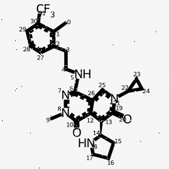 Cc1c(CCNc2nn(C)c(=O)c3c([C@H]4CCCN4)c(=O)n(C4CC4)cc23)cccc1C(F)(F)F